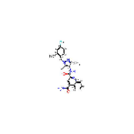 Cc1c(NC(=O)c2cc(C(N)=O)c3ccccc3n2)c(C(F)(F)F)nn1Cc1ccc(F)cc1C#N